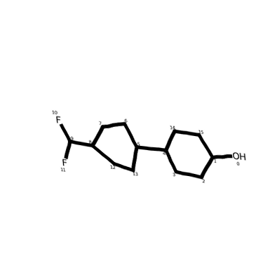 OC1CCC(C2CCC(C(F)F)CC2)CC1